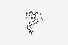 Cc1ccc(NC(=O)c2cccc(C(F)(F)F)c2)cc1C1=CN(C)C(O)C(N2CCOCC2)=N1